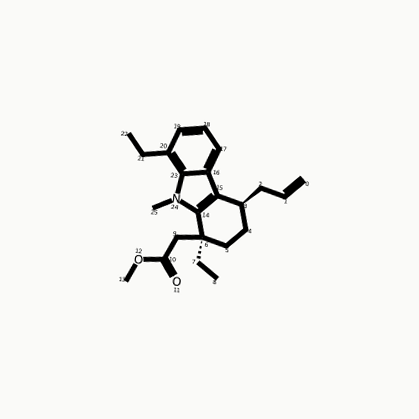 C=CC[C@H]1CC[C@@](CC)(CC(=O)OC)c2c1c1cccc(CC)c1n2C